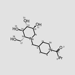 CC(C)C(=O)N1CCC(CN2C[C@H](O)[C@@H](O)[C@H](O)[C@H]2CO)CC1